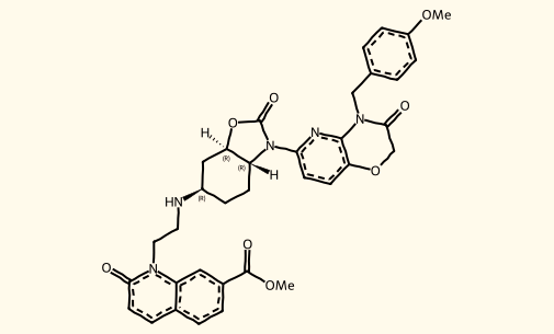 COC(=O)c1ccc2ccc(=O)n(CCN[C@@H]3CC[C@@H]4[C@@H](C3)OC(=O)N4c3ccc4c(n3)N(Cc3ccc(OC)cc3)C(=O)CO4)c2c1